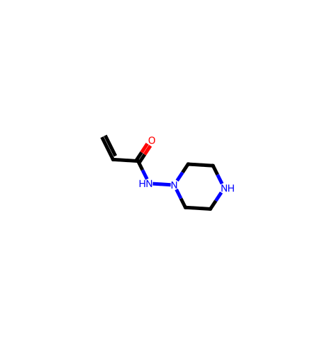 C=CC(=O)NN1CCNCC1